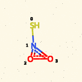 Sn1oo1